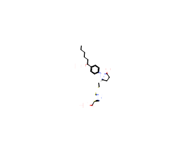 CCCCC[C@H](O)c1ccc(N2C(=O)CC[C@@H]2CCSc2ncc(C(=O)O)s2)cc1